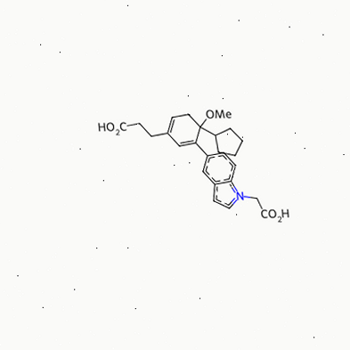 COC1(C2CCCC2)CC=C(CCC(=O)O)C=C1c1ccc2c(ccn2CC(=O)O)c1